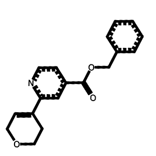 O=C(OCc1ccccc1)c1ccnc(C2=CCOCC2)c1